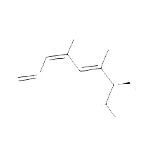 C=N/C=C(Cl)\C=C(/C)[C@@H](O)CCl